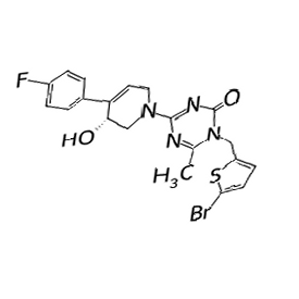 Cc1nc(N2CC=C(c3ccc(F)cc3)[C@@H](O)C2)nc(=O)n1Cc1ccc(Br)s1